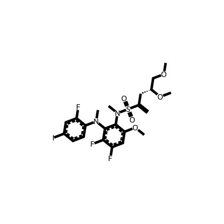 C=C(C[C@H](COC)OC)S(=O)(=O)N(C)c1c(OC)cc(F)c(F)c1N(C)c1ccc(I)cc1F